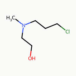 CN(CCO)CCCCl